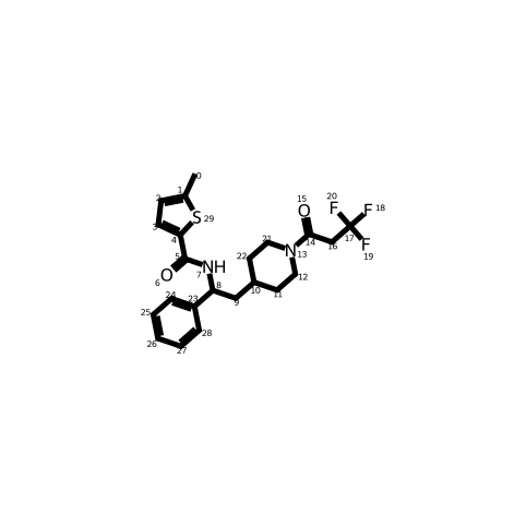 Cc1ccc(C(=O)NC(CC2CCN(C(=O)CC(F)(F)F)CC2)c2ccccc2)s1